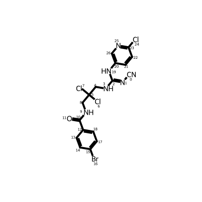 N#CN=C(NCC(Cl)(Cl)CNC(=O)c1ccc(Br)cc1)Nc1ccc(Cl)nc1